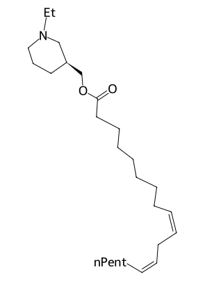 CCCCC/C=C\C/C=C\CCCCCCCC(=O)OC[C@H]1CCCN(CC)C1